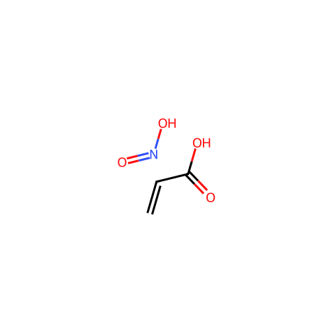 C=CC(=O)O.O=NO